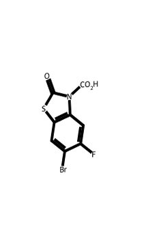 O=C(O)n1c(=O)sc2cc(Br)c(F)cc21